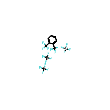 FC(F)(F)c1ccccc1C(F)(F)F.F[B-](F)(F)F.F[B-](F)(F)F.F[B-](F)(F)F